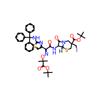 CC(C)(C)OC(=O)C1(CI)CS[C@@H]2C(NC(=O)C(=NOC(C)(C)C(=O)OC(C)(C)C)c3csc(NC(c4ccccc4)(c4ccccc4)c4ccccc4)n3)C(=O)N2C1